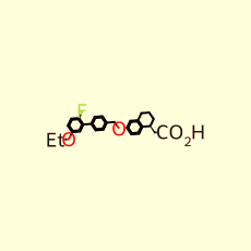 CCOc1ccc(F)c(-c2ccc(COc3ccc4c(c3)CCC[C@H]4CC(=O)O)cc2)c1